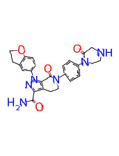 NC(=O)c1nn(-c2ccc3c(c2)CCO3)c2c1CCN(c1ccc(N3CCNCC3=O)cc1)C2=O